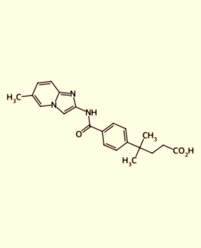 Cc1ccc2nc(NC(=O)c3ccc(C(C)(C)CCC(=O)O)cc3)cn2c1